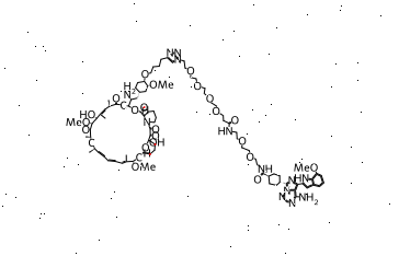 COc1cccc2cc(-c3nc([C@H]4CC[C@H](C(=O)NCCOCCOCCNC(=O)CCOCCOCCOCCOCCn5cc(CCCCO[C@@H]6CC[C@@H](C[C@@H](N)[C@@H]7CC(=O)[C@H](C)/C=C(\C)[C@@H](O)[C@@H](OC)C(=O)[C@H](C)C[C@H](C)/C=C/C=C/C=C(\C)[C@@H](OC)C[C@@H]8CC[C@@H](C)[C@@](O)(O8)C(=O)C(=O)N8CCCC[C@H]8C(=O)O7)C[C@H]6OC)nn5)CC4)n4ncnc(N)c34)[nH]c12